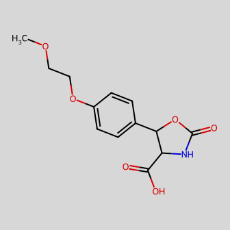 COCCOc1ccc(C2OC(=O)NC2C(=O)O)cc1